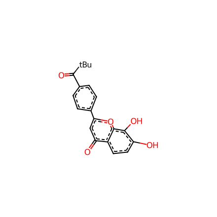 CC(C)(C)C(=O)c1ccc(-c2cc(=O)c3ccc(O)c(O)c3o2)cc1